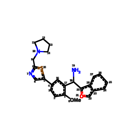 COc1ccc(-c2cnc(CN3CCCC3)s2)cc1C(N)c1occ2ccccc12